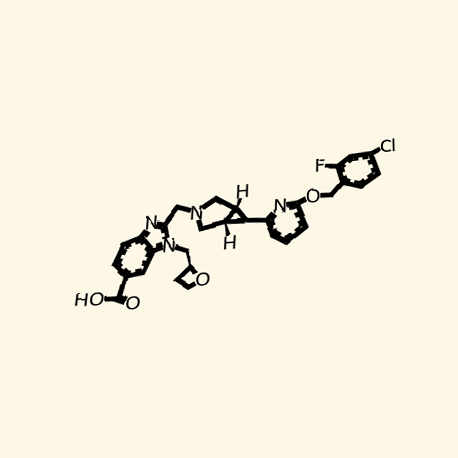 O=C(O)c1ccc2nc(CN3C[C@@H]4C(c5cccc(OCc6ccc(Cl)cc6F)n5)[C@@H]4C3)n(C[C@@H]3CCO3)c2c1